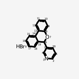 Br.c1cncc(C2Oc3ccccc3-c3ccccc32)c1